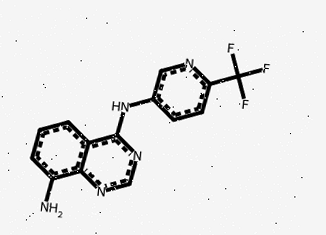 Nc1cccc2c(Nc3ccc(C(F)(F)F)nc3)ncnc12